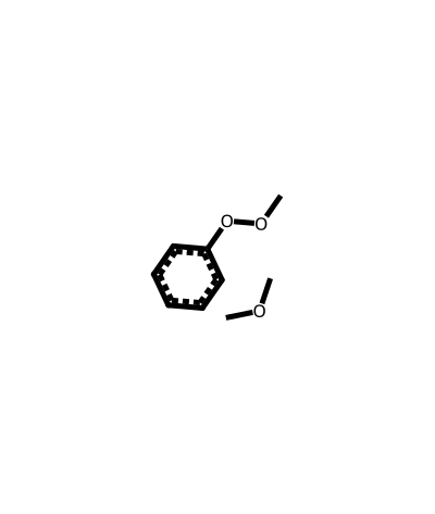 COC.COOc1ccccc1